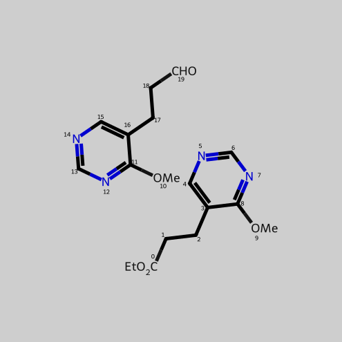 CCOC(=O)CCc1cncnc1OC.COc1ncncc1CCC=O